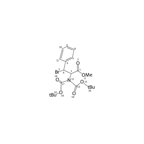 COC(=O)C(C(Br)c1ccccc1)N(C(=O)OC(C)(C)C)C(=O)OC(C)(C)C